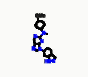 COc1ccc(N(C)c2ncc3ncn(-c4ccc5cn[nH]c5c4)c3n2)cc1